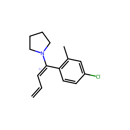 C=C/C=C(\c1ccc(Cl)cc1C)N1CCCC1